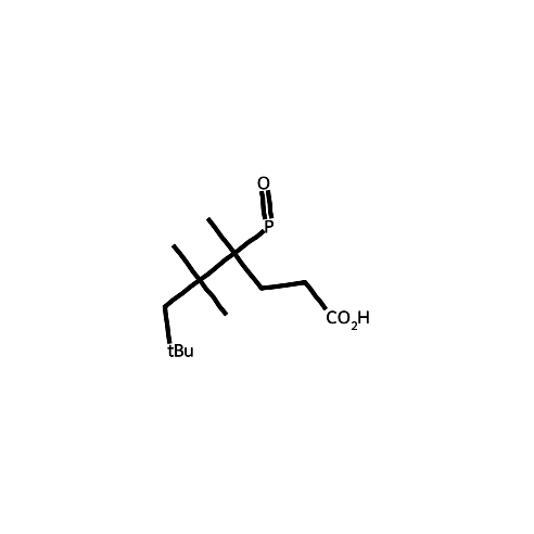 CC(C)(C)CC(C)(C)C(C)(CCC(=O)O)P=O